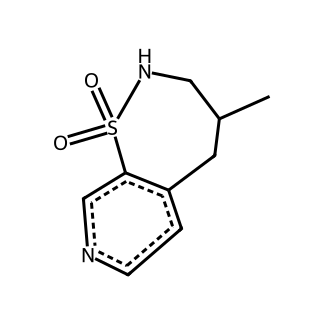 CC1CNS(=O)(=O)c2cnccc2C1